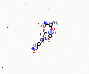 Cc1cc2cc(n1)-c1cnn(C)c1OCCC[C@@H](C)CN1/C(=N/C2=O)Nc2ccc(C(=O)N(C)CCN3CCN(c4cc(F)c([C@H]5CCC(=O)NC5=O)c(F)c4)CC3)cc21